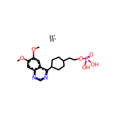 COc1cc2ncnc(C3CCC(CCOP(=O)(O)O)CC3)c2cc1OC.[H+].[H+]